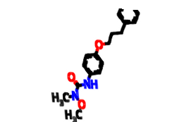 CON(C)C(=O)Nc1ccc(OCCCc2ccccc2)cc1